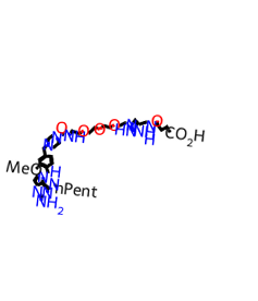 CCCCCNc1nc(N)nc2ccn(Cc3ccc(CN4CCN(C(=O)NCCOCCOCCOCCN5C=C(CNC(=O)CCC(=O)O)NN5)CC4)cc3OC)c12